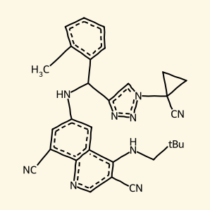 Cc1ccccc1C(Nc1cc(C#N)c2ncc(C#N)c(NCC(C)(C)C)c2c1)c1cn(C2(C#N)CC2)nn1